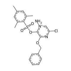 Cc1cc(C)c(S(=O)(=O)Oc2c(OCc3ccccc3)nc(Cl)c[n+]2N)c(C)c1